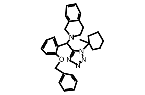 CC1(n2nnnc2C(c2ccccc2OCc2ccccc2)N2CCc3ccccc3C2)CCCCC1